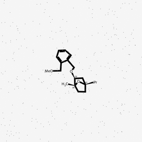 COCc1ccccc1CO[C@H]1C[C@]2(C(C)C)CC[C@@]1(C)O2